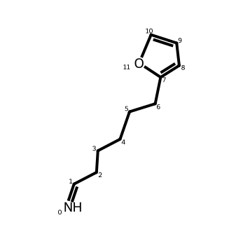 N=CCCCCCc1ccco1